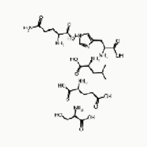 CC(C)CC(N)C(=O)O.NC(=O)CCC(N)C(=O)O.NC(CCC(=O)O)C(=O)O.NC(CO)C(=O)O.NC(Cc1c[nH]cn1)C(=O)O